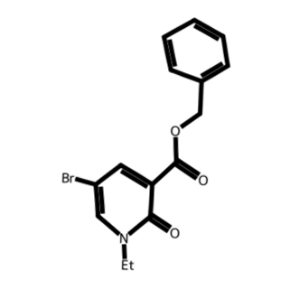 CCn1cc(Br)cc(C(=O)OCc2ccccc2)c1=O